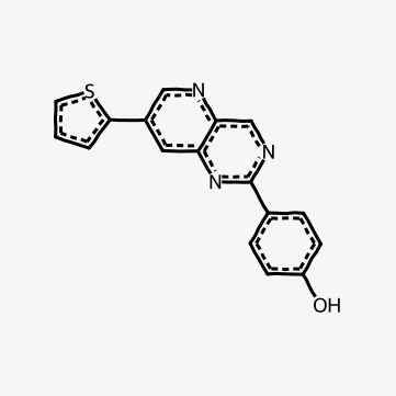 Oc1ccc(-c2ncc3ncc(-c4cccs4)cc3n2)cc1